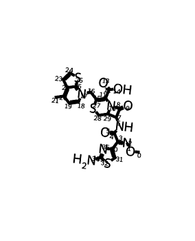 CON=C(C(=O)NC1C(=O)N2C(C(=O)O)=C(C[n+]3ccc(C)c4ccsc43)SCC12)c1csc(N)n1